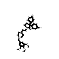 COc1cc(CN2CCN(CCN3CCC(c4ccc(F)cc4)(c4ccc(F)cc4)C3=O)CC2)cc(OC)c1OC